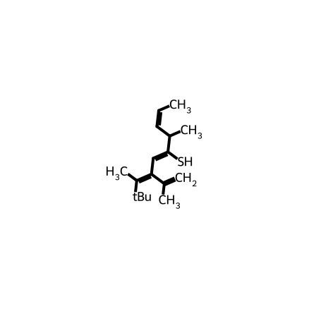 C=C(C)C(/C=C(\S)C(C)/C=C\C)=C(/C)C(C)(C)C